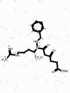 COC(=O)CCC(=O)CC(=O)N(NCc1ccccc1)[C@@H](CCCNC(=N)N)C(=O)O